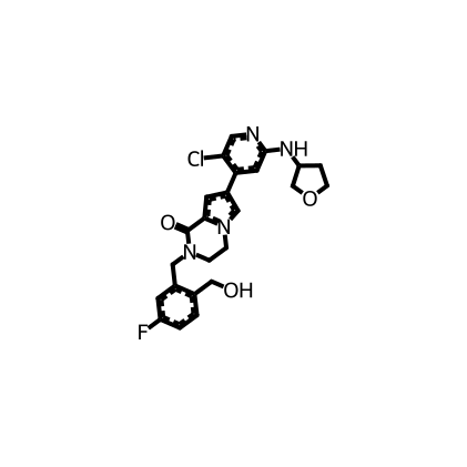 O=C1c2cc(-c3cc(NC4CCOC4)ncc3Cl)cn2CCN1Cc1cc(F)ccc1CO